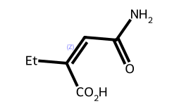 CC/C(=C/C(N)=O)C(=O)O